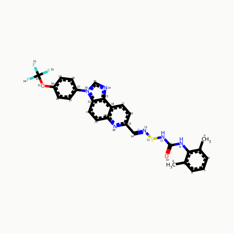 Cc1cccc(C)c1NC(=O)NS/N=C/c1ccc2c(ccc3c2ncn3-c2ccc(OC(F)(F)F)cc2)n1